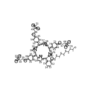 CCCCCCCCCCOc1ccccc1C1=C2C=CC(=N2)C(c2ccc(OCCS(C)(=O)=O)cc2)=C2C=CC(=N2)C(c2ccc(OCCS(C)(=O)=O)cc2)=C2C=CC(=N2)C(c2ccc(OCCS(C)(=O)=O)cc2)=C2C=CC1=N2